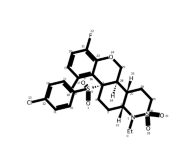 CCN1[C@@H]2CC[C@@]3(S(=O)(=O)c4ccc(Cl)cc4)c4c(F)ccc(F)c4OC[C@H]3[C@@H]2CCS1(=O)=O